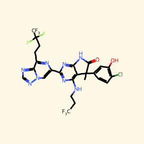 CC1(c2ccc(Cl)c(O)c2)C(=O)Nc2nc(-c3cn4ncnc4c(CCC(F)(F)C(F)(F)F)n3)nc(NCCC(F)(F)F)c21